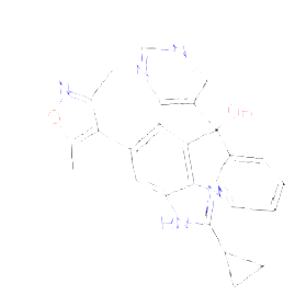 Cc1noc(C)c1-c1cc(C(O)(c2ccccc2)c2cncnc2)c2nc(C3CC3)[nH]c2c1